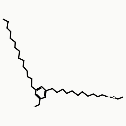 [CH2]Cc1cc(CCCCCCCCCCCCCCC)cc(CCCCCCCCCCCCCCC)c1